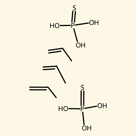 C=CC.C=CC.C=CC.OP(O)(O)=S.OP(O)(O)=S